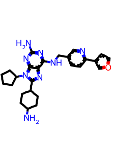 Nc1nc(NCc2ccc(-c3ccoc3)nc2)c2nc(C3CCC(N)CC3)n(C3CCCC3)c2n1